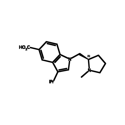 CC(C)c1cn(C[C@H]2CCCN2C)c2ccc(C(=O)O)cc12